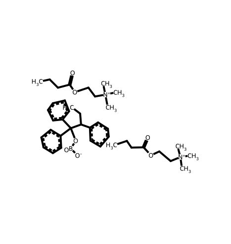 CCC(c1ccccc1)C(OB([O-])[O-])(c1ccccc1)c1ccccc1.CCCC(=O)OCC[N+](C)(C)C.CCCC(=O)OCC[N+](C)(C)C